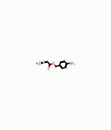 C=C=CC(=O)OCc1ccc([N+](=O)[O-])cc1